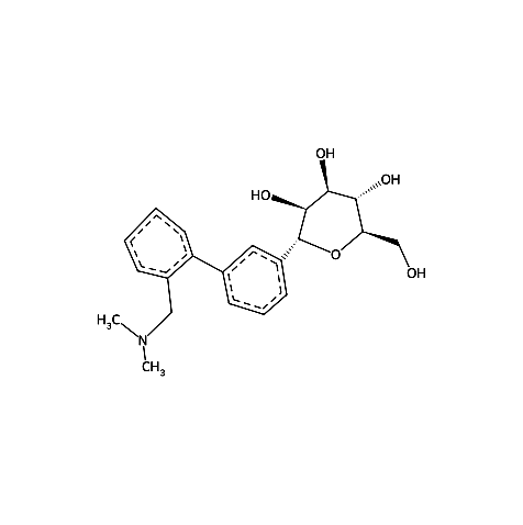 CN(C)Cc1ccccc1-c1cccc([C@H]2O[C@H](CO)[C@@H](O)[C@H](O)[C@@H]2O)c1